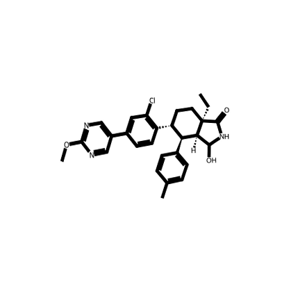 CC[C@@]12CC[C@@H](c3ccc(-c4cnc(OC)nc4)cc3Cl)[C@H](c3ccc(C)cc3)[C@@H]1C(O)NC2=O